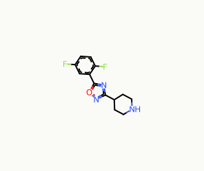 Fc1ccc(F)c(-c2nc(C3CCNCC3)no2)c1